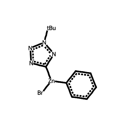 CC(C)(C)n1nn[c]([Zn]([Br])[c]2ccccc2)n1